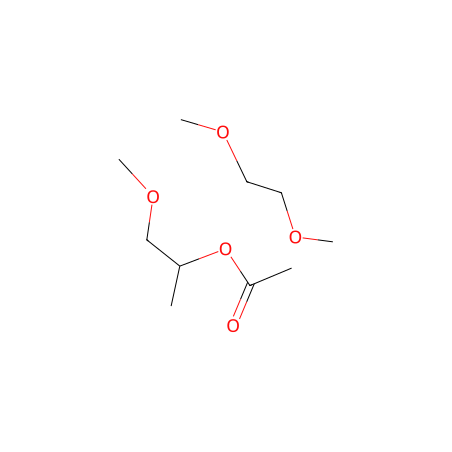 COCC(C)OC(C)=O.COCCOC